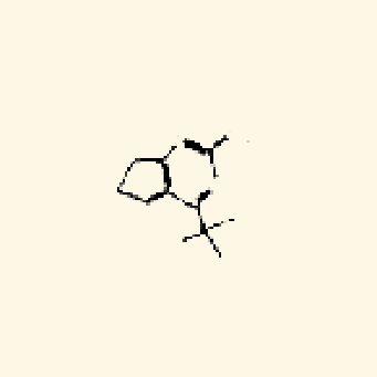 CC(C)(C)c1nc(N)nc2c1CCC2